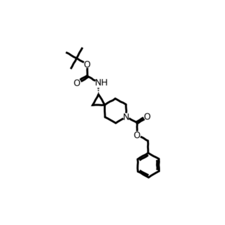 CC(C)(C)OC(=O)N[C@H]1CC12CCN(C(=O)OCc1ccccc1)CC2